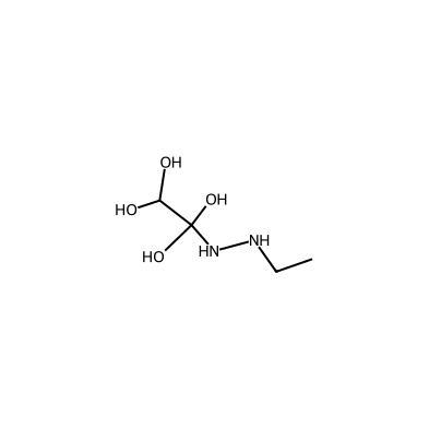 CCNNC(O)(O)C(O)O